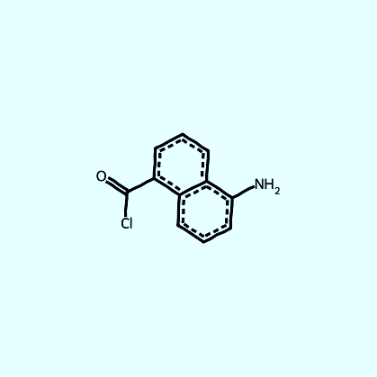 Nc1cccc2c(C(=O)Cl)cccc12